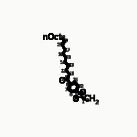 C=CS(=O)(=O)c1ccc(C(=O)CCCCCCCC=CCCCCCCCC)cc1